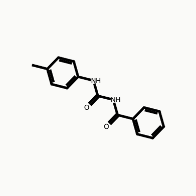 Cc1ccc(NC(=O)NC(=O)c2ccccc2)cc1